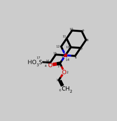 C=COC(=O)N1CC2CCCC(C1)C2CCCS(=O)(=O)O